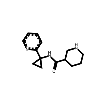 O=C(NC1(c2ccccn2)CC1)C1CCCNC1